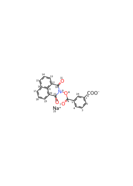 O=C([O-])c1cccc(C(=O)ON2C(=O)c3cccc4cccc(c34)C2=O)c1.[Na+]